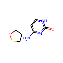 C1COSC1.Nc1cc[nH]c(=O)n1